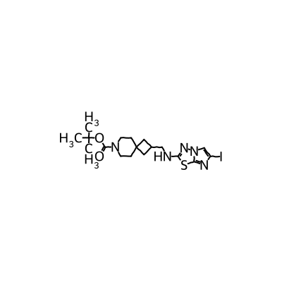 CC(C)(C)OC(=O)N1CCC2(CC1)CC(CNc1nn3cc(I)nc3s1)C2